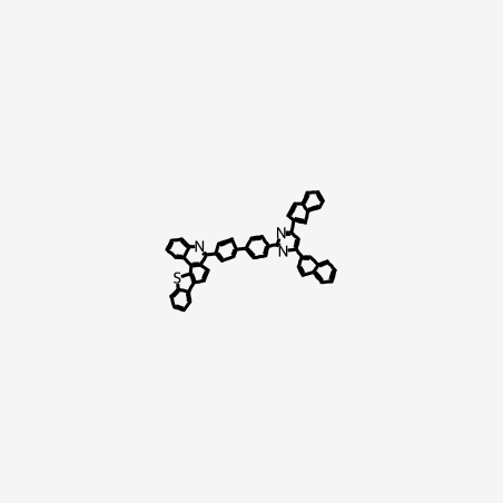 c1ccc2cc(-c3cc(-c4ccc5ccccc5c4)nc(-c4ccc(-c5ccc(-c6nc7ccccc7c7c6ccc6c8ccccc8sc67)cc5)cc4)n3)ccc2c1